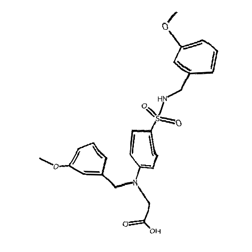 COc1cccc(CNS(=O)(=O)c2ccc(N(CC(=O)O)Cc3cccc(OC)c3)cc2)c1